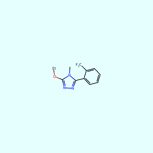 [CH2]COc1nnc(-c2ccccc2C(F)(F)F)n1C